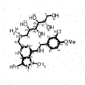 CCCc1nn(C)c2c(NCc3ccc(OC)c(Cl)c3)nc(CN(C)C[C@@H](O)[C@H](O)[C@@H](O)[C@@H](O)CO)nc12